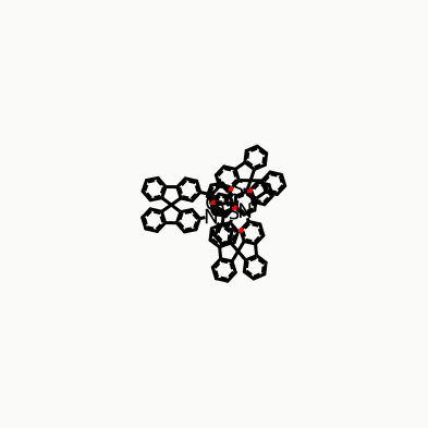 O=C(c1ccc2c(c1)C1(c3ccccc3-2)c2ccccc2-c2ccc(C(=O)c3ccc4c(c3)C3(c5ccccc5-4)c4ccccc4-c4ccc(N5c6ccccc6Sc6ccccc65)cc43)cc21)c1ccc2c(c1)C1(c3ccccc3-2)c2ccccc2-c2ccc(N3c4ccccc4Sc4ccccc43)cc21